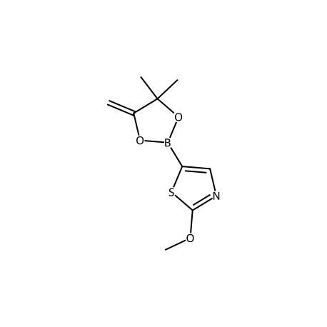 C=C1OB(c2cnc(OC)s2)OC1(C)C